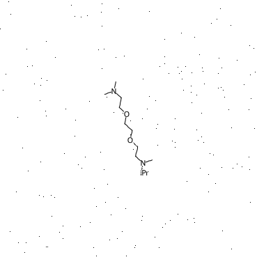 CC(C)N(C)CCOCCOCCN(C)C